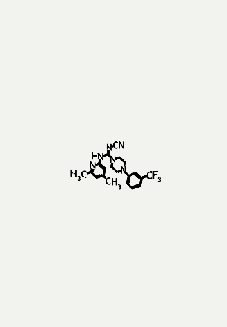 Cc1cc(C)nc(N/C(=N/C#N)N2CCN(c3cccc(C(F)(F)F)c3)CC2)c1